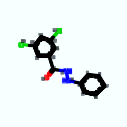 O=C(NNc1ccccc1)c1cc(Cl)cc(Cl)c1